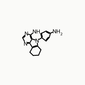 Nc1ccc(-n2c3c(c4ncnc(N)c42)CCCC3)cc1